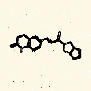 C=C1CCc2cc(/C=C/C(=O)N3CC4C=CCC4C3)cnc2N1